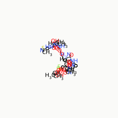 C/C(=C\C(=O)N[C@H]1CCc2cccc3c2N(C1=O)[C@H](C(=O)N[C@@H](CCC(N)=O)[C@@H](C)OCc1ccc(CCCOCCOCC(=O)N[C@H](C(=O)N2C[C@H](O)C[C@H]2C(=O)NCc2ccc(-c4scnc4C)cc2)C(C)(C)C)cc1)C3)c1ccc(C(F)(F)P(=O)(OCOC(=O)C(C)(C)C)OCOC(O)C(C)(C)C)cc1